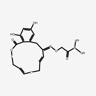 CCCN(CCC)C(=O)CON=C1/C=C/CC/C=C/CCOC(=O)c2c(O)cc(O)cc2C1